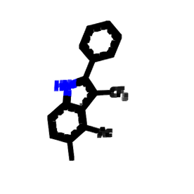 CC(=O)c1c(C)ccc2[nH]c(-c3ccccc3)c(C(F)(F)F)c12